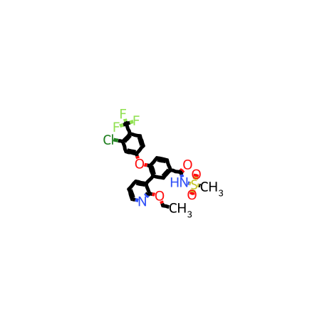 CCOc1ncccc1-c1cc(C(=O)NS(C)(=O)=O)ccc1Oc1ccc(C(F)(F)F)c(Cl)c1